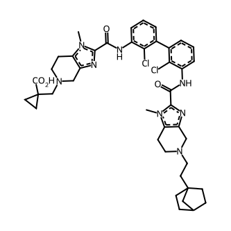 Cn1c(C(=O)Nc2cccc(-c3cccc(NC(=O)c4nc5c(n4C)CCN(CC4(C(=O)O)CC4)C5)c3Cl)c2Cl)nc2c1CCN(CCC13CCC(CC1)C3)C2